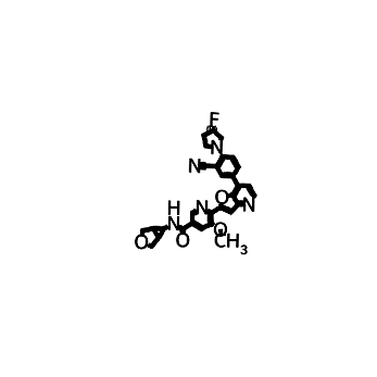 COc1cc(C(=O)NC2C3COCC32)cnc1-c1cc2nccc(-c3ccc(N4CC[C@@H](F)C4)c(C#N)c3)c2o1